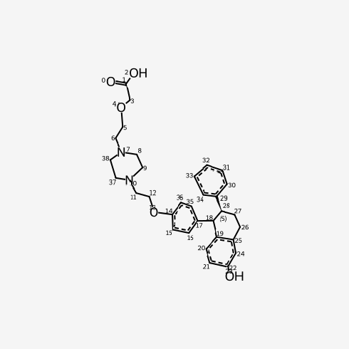 O=C(O)COCCN1CCN(CCOc2ccc(C3c4ccc(O)cc4CC[C@@H]3c3ccccc3)cc2)CC1